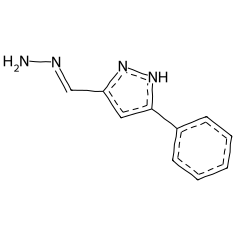 NN=Cc1cc(-c2ccccc2)[nH]n1